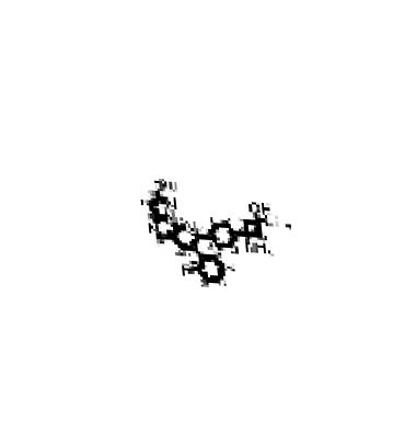 CC1(O)CC(N)(c2ccc(-c3nc4c(cnc5cc(C(C)(C)C)nn54)cc3-c3ccccc3F)cc2)C1